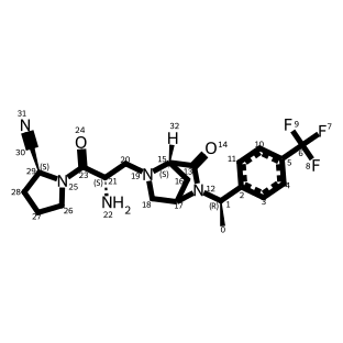 C[C@H](c1ccc(C(F)(F)F)cc1)N1C(=O)[C@@H]2CC1CN2C[C@H](N)C(=O)N1CCC[C@H]1C#N